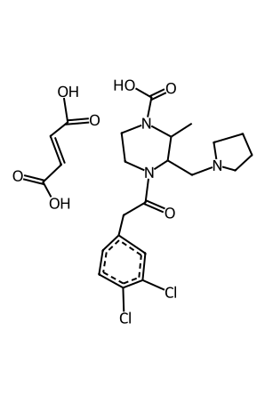 CC1C(CN2CCCC2)N(C(=O)Cc2ccc(Cl)c(Cl)c2)CCN1C(=O)O.O=C(O)C=CC(=O)O